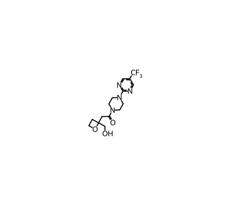 O=C(CC1(CO)CCO1)N1CCN(c2ncc(C(F)(F)F)cn2)CC1